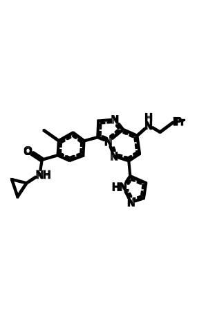 Cc1cc(-c2cnc3c(NCC(C)C)cc(-c4ccn[nH]4)nn23)ccc1C(=O)NC1CC1